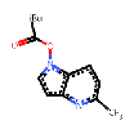 CCC(C)C(=O)On1ccc2nc(C(F)(F)F)ccc21